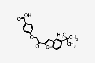 CC(C)(C)c1ccc2oc(C(=O)COc3ccc(C(=O)O)cc3)cc2c1